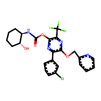 O=C(N[C@@H]1CCCC[C@H]1O)Oc1nc(-c2cccc(Cl)c2)c(OCc2ccccn2)nc1C(F)(F)F